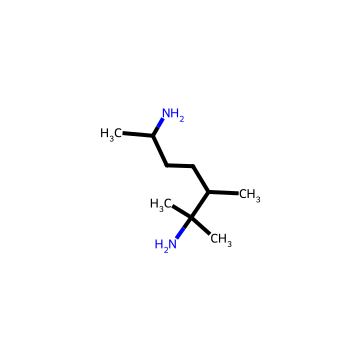 CC(N)CCC(C)C(C)(C)N